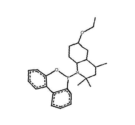 CCOC1CCC2C(C1)C(C)CC(C)(C)N2P1Oc2ccccc2-c2ccccc21